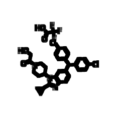 O=C(CO)N1CCC(n2c(C3CC3)nc3ccc(C(c4ccc(Cl)cc4)c4ccc(Cl)cc4)cc32)CC1.O=C(O)C(F)(F)F